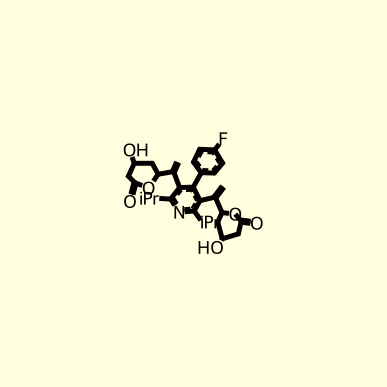 C=C(c1c(C(C)C)nc(C(C)C)c(C(=C)C2CC(O)CC(=O)O2)c1-c1ccc(F)cc1)C1CC(O)CC(=O)O1